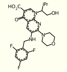 CC(C)C(CO)n1cc(C(=O)O)c(=O)c2cc(NCc3c(F)cc(F)cc3F)c(N3CCOCC3)nc21